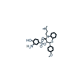 COc1ccc([C@@H]2Sc3ccccc3N(CCN(C)C)C(=O)[C@@H]2OS(=O)(=O)c2ccc(O)c(N)c2)cc1